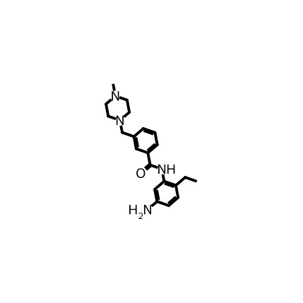 CCc1ccc(N)cc1NC(=O)c1cccc(CN2CCN(C)CC2)c1